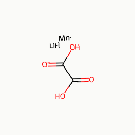 O=C(O)C(=O)O.[LiH].[Mn]